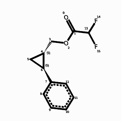 O=C(OC[C@H]1C[C@@H]1c1ccccc1)C(F)F